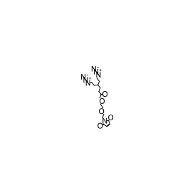 [N-]=[N+]=NCCC(CCN=[N+]=[N-])CCC(=O)COCCOCCN1C(=O)C=CC1=O